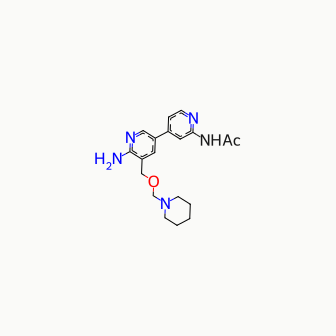 CC(=O)Nc1cc(-c2cnc(N)c(COCN3CCCCC3)c2)ccn1